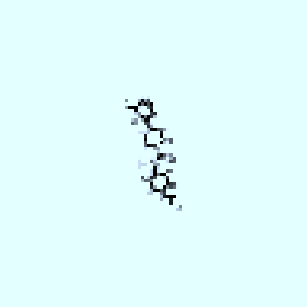 Cc1cnnc(N2CCN(C(=O)Nc3ccc(C(F)(F)F)cc3)CC2)c1